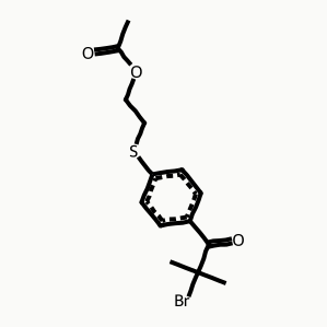 CC(=O)OCCSc1ccc(C(=O)C(C)(C)Br)cc1